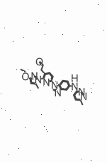 CCOc1cc(C)n(-c2nc(-n3cnc4cc(Nc5ccc(C)nn5)ccc43)ccc2CC=O)n1